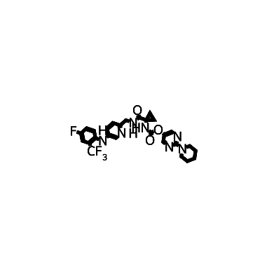 O=C(NC1(C(=O)NCc2ccc(Nc3ccc(F)cc3C(F)(F)F)cn2)CC1)Oc1cnc(N2CCCCC2)nc1